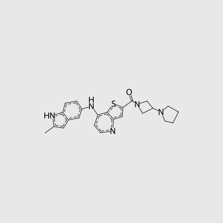 Cc1cc2cc(Nc3ccnc4cc(C(=O)N5CC(N6CCCC6)C5)sc34)ccc2[nH]1